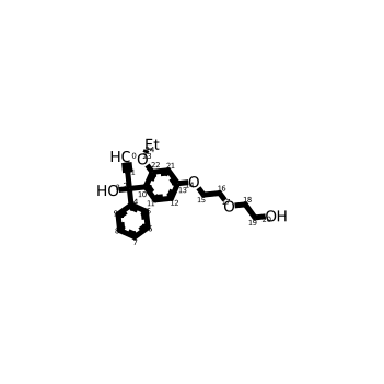 C#CC(O)(c1ccccc1)c1ccc(OCCOCCO)cc1OCC